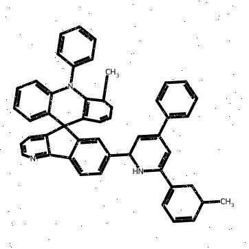 CC1C=CC=C(C2=CC(c3ccccc3)=CC(c3ccc4c(c3)C3(C5=C(C(C)CC=C5)N(c5ccccc5)c5ccccc53)c3cccnc3-4)N2)C1